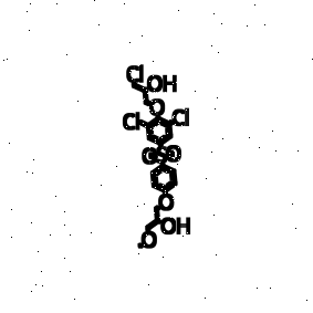 COC[C@H](O)COc1ccc(S(=O)(=O)c2cc(Cl)c(OC[C@H](O)CCl)c(Cl)c2)cc1